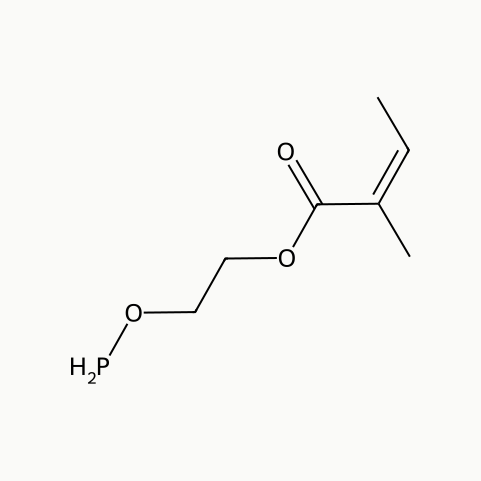 CC=C(C)C(=O)OCCOP